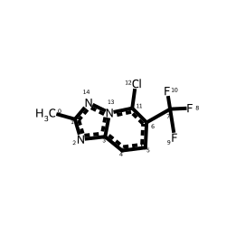 Cc1nc2ccc(C(F)(F)F)c(Cl)n2n1